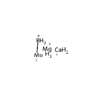 [BH2][Mo].[CaH2].[MgH2]